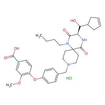 CCCCN1C(=O)[C@@H](C(O)C2CC=CC2)NC(=O)C12CCN(Cc1ccc(Oc3ccc(C(=O)O)cc3OC)cc1)CC2.Cl